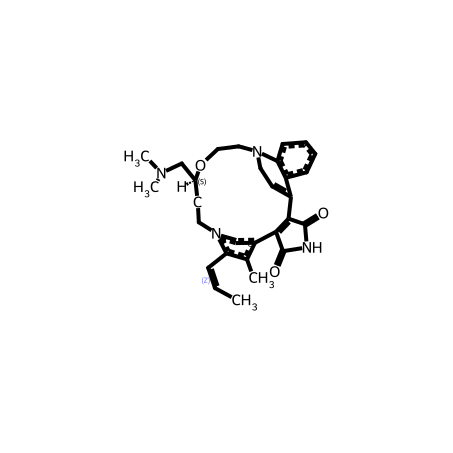 C/C=C\c1c(C)c2cn1CC[C@@H](CN(C)C)OCCN1CC=C(C3=C2C(=O)NC3=O)c2ccccc21